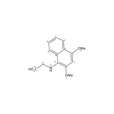 COc1cc(OC)c2ccccc2c1NCC(=O)O